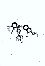 C=CC(=O)N1CC(Nc2ccc3c(c2)C(=O)N(C)C3)(c2cccc(Cl)c2C)C1